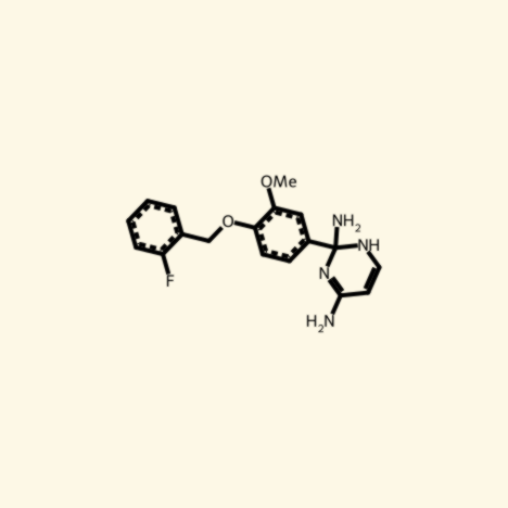 COc1cc(C2(N)N=C(N)C=CN2)ccc1OCc1ccccc1F